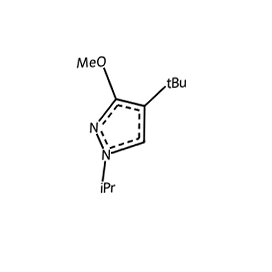 COc1nn(C(C)C)cc1C(C)(C)C